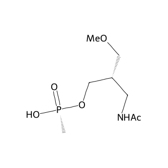 COC[C@H](CNC(C)=O)CO[P@](C)(=O)O